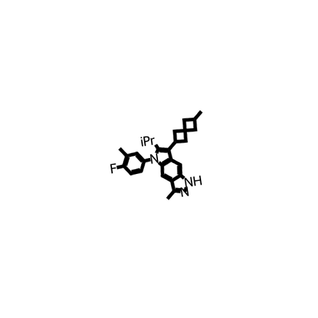 Cc1cc(-n2c(C(C)C)c(C3CC4(CC(C)C4)C3)c3cc4[nH]nc(C)c4cc32)ccc1F